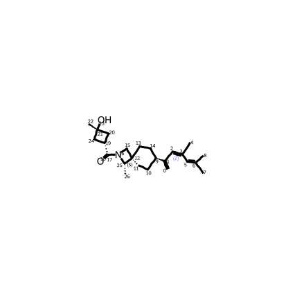 C=C(/C=C(/C)C=C(C)C)[C@H]1CC[C@@]2(CC1)CN(C(=O)[C@H]1C[C@@](C)(O)C1)[C@H]2C